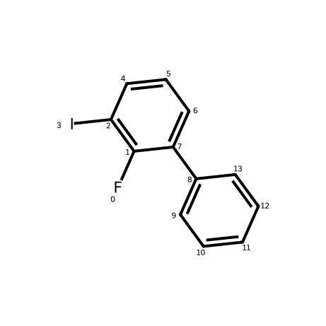 Fc1c(I)cccc1-c1ccccc1